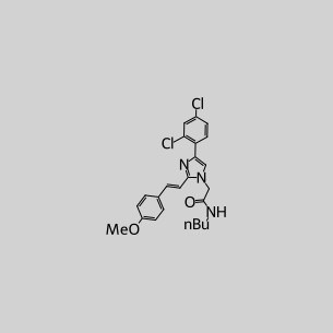 CCCCNC(=O)Cn1cc(-c2ccc(Cl)cc2Cl)nc1C=Cc1ccc(OC)cc1